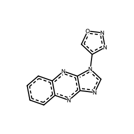 c1ccc2nc3c(ncn3-c3conn3)nc2c1